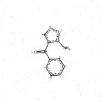 Nc1oncc1C(=O)c1ccccc1